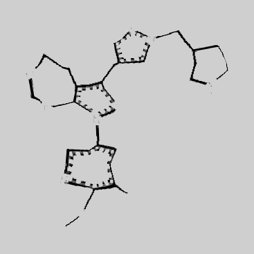 COc1ncc(-n2nc(-c3cnn(CC4CCNC4)c3)c3c2NCOCC3)cc1F